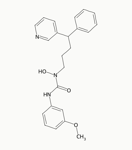 COc1cccc(NC(=O)N(O)CCCC(c2ccccc2)c2cccnc2)c1